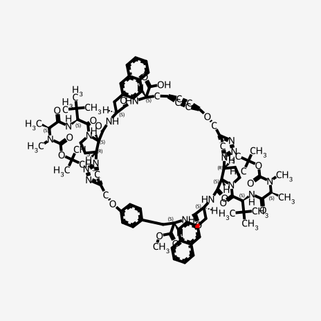 COC(=O)[C@@H]1Cc2ccc(cc2)OCc2cn(nn2)[C@@H]2CCN(C(=O)[C@@H](NC(=O)[C@H](C)N(C)C(=O)OC(C)(C)C)C(C)(C)C)[C@@H]2C(=O)N[C@@H](Cc2ccc3ccccc3c2)C(=O)N[C@H](C(=O)O)Cc2ccc(cc2)OCc2cn(nn2)[C@@H]2CCN(C(=O)[C@@H](NC(=O)[C@H](C)N(C)C(=O)OC(C)(C)C)C(C)(C)C)[C@@H]2C(=O)N[C@@H](Cc2ccc3ccccc3c2)C(=O)N1